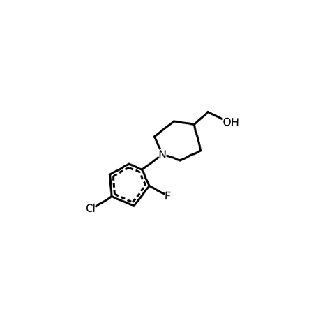 OCC1CCN(c2ccc(Cl)cc2F)CC1